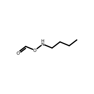 CCCCNOC=O